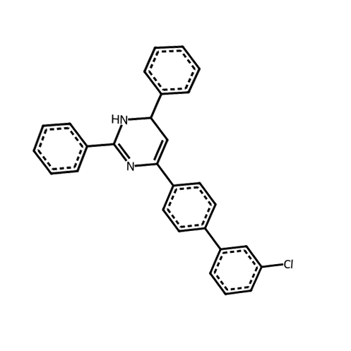 Clc1cccc(-c2ccc(C3=CC(c4ccccc4)NC(c4ccccc4)=N3)cc2)c1